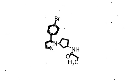 CCC(=O)N[C@H]1CC[C@@H](n2nccc2-c2ccc(Br)cc2)C1